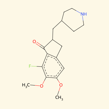 COc1cc2c(c(F)c1OC)C(=O)C(CC1CCNCC1)C2